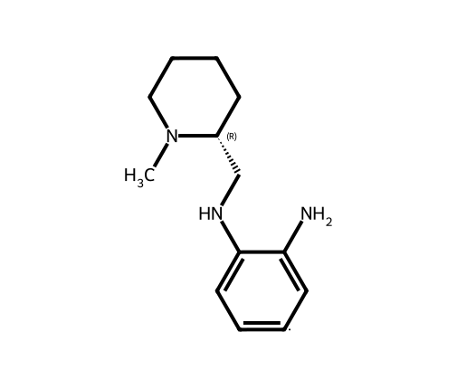 CN1CCCC[C@@H]1CNc1cc[c]cc1N